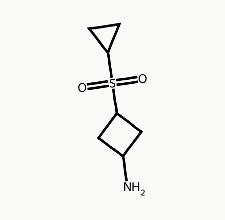 NC1CC(S(=O)(=O)C2CC2)C1